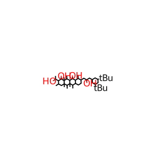 CC(O)C1C(C)CC2(C)C(C)C3(C)C(C)C4CCC(CC(O)CC5CC(C(C)(C)C)CC(C(C)(C)C)C5)C(C)C4C(O)C3C(C)C2(C)C1O